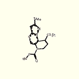 CCOC(=O)C1CCN(C(=O)OC(C)(C)C)c2cnc3cc(SC)nn3c21